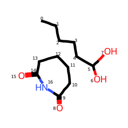 CCCCCC(O)O.O=C1CCCCC(=O)N1